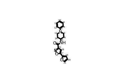 O=C(NC1CCN(c2ccccc2)CC1)c1cc(-c2ccco2)on1